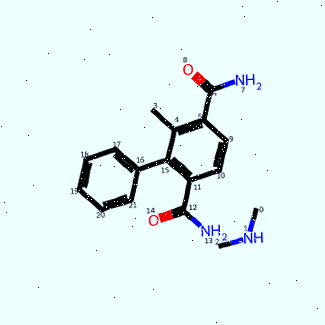 CNC.Cc1c(C(N)=O)ccc(C(N)=O)c1-c1ccccc1